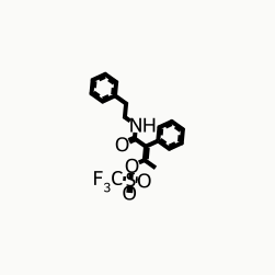 CC(OS(=O)(=O)C(F)(F)F)=C(C(=O)NCCc1ccccc1)c1ccccc1